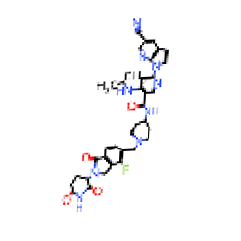 CC(C)Nc1cc(-n2ccc3cc(C#N)cnc32)ncc1C(=O)NC1CCN(Cc2ccc3c(c2F)CN(C2CCC(=O)NC2=O)C3=O)CC1